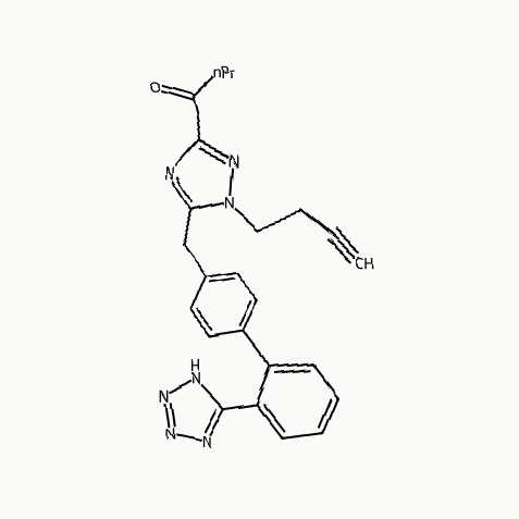 C#CCCn1nc(C(=O)CCC)nc1Cc1ccc(-c2ccccc2-c2nnn[nH]2)cc1